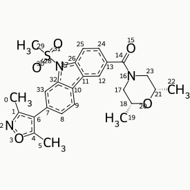 Cc1noc(C)c1-c1ccc2c3cc(C(=O)N4C[C@@H](C)O[C@@H](C)C4)ccc3n(S(C)(=O)=O)c2c1